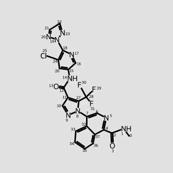 CNC(=O)c1ncc(-n2ncc(C(=O)Nc3cnc(-n4nccn4)c(Cl)c3)c2C(F)(F)F)c2ccccc12